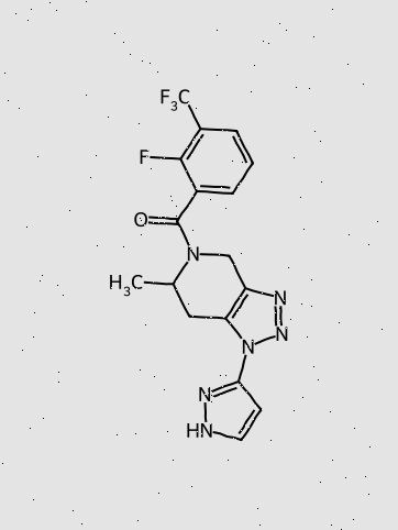 CC1Cc2c(nnn2-c2cc[nH]n2)CN1C(=O)c1cccc(C(F)(F)F)c1F